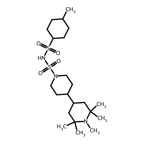 CC1CCC(S(=O)(=O)NS(=O)(=O)N2CCC(C3CC(C)(C)N(C)C(C)(C)C3)CC2)CC1